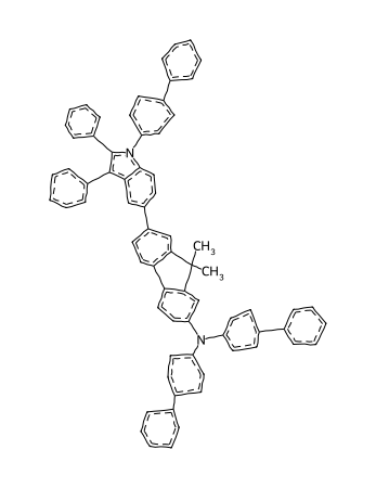 CC1(C)c2cc(-c3ccc4c(c3)c(-c3ccccc3)c(-c3ccccc3)n4-c3ccc(-c4ccccc4)cc3)ccc2-c2ccc(N(c3ccc(-c4ccccc4)cc3)c3ccc(-c4ccccc4)cc3)cc21